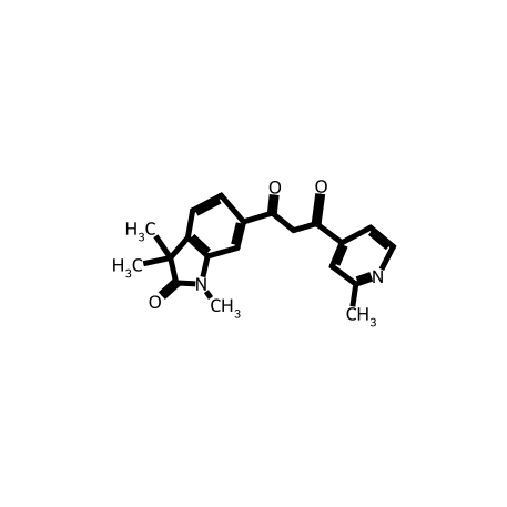 Cc1cc(C(=O)CC(=O)c2ccc3c(c2)N(C)C(=O)C3(C)C)ccn1